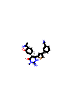 Cc1noc2cc([C@@H]3C(=O)N(C)C(=N)N[C@]3(C)c3cc(-c4cccc(C#N)c4)cs3)ccc12